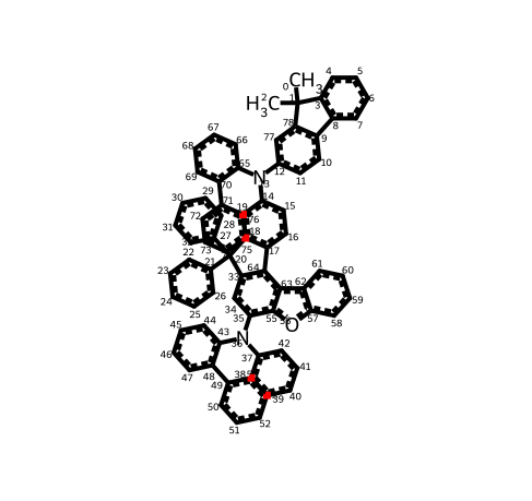 CC1(C)c2ccccc2-c2ccc(N(c3ccc4c(c3)C(c3ccccc3)(c3ccccc3)c3cc(N(c5ccccc5)c5ccccc5-c5ccccc5)c5oc6ccccc6c5c3-4)c3ccccc3-c3ccccc3)cc21